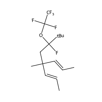 CC=CC(C)(C=CC)CC(F)(OC(F)(F)C(F)(F)F)C(C)(C)C